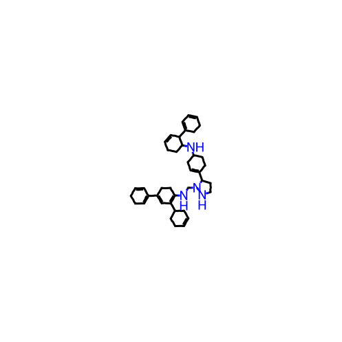 C1=CCCC(C2C=CCCC2NC2CC=C(C3CCNN3CNC3=C(C4CC=CCC4)C=C(C4=CCCC=C4)CC3)CC2)=C1